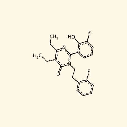 CCc1nc(-c2cccc(F)c2O)n(CCc2ccccc2F)c(=O)c1CC